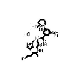 CCNc1cc(C(=O)N[C@@H](Cn2cccn2)[C@@H](O)CNC(C)CCCC(C)C)cc(N2CCCCS2(O)O)c1.Cl